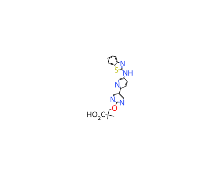 CC(C)(COc1ncc(-c2ccc(Nc3nc4ccccc4s3)cn2)cn1)C(=O)O